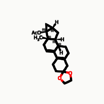 CC(=O)O[C@@]12C[C@@H]1C[C@H]1[C@@H]3CCC4=C(CCC5(C4)OCCO5)C3=CC[C@@]12C